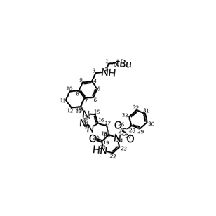 CC(C)(C)CNCc1ccc2c(c1)CCC[C@@H]2n1cc(C[C@@H]2C(=O)NC=CN2S(=O)(=O)c2ccccc2)nn1